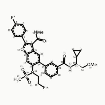 CNC(=O)c1c(-c2ccc(F)cc2)oc2cc(N(CCF)S(C)(=O)=O)c(-c3cccc(C(=O)N[C@@H](COC)C4CC4)c3)cc12